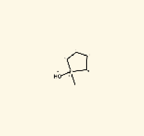 C[P]1(O)CCCC1